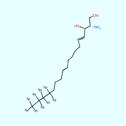 [2H]C([2H])([2H])C([2H])([2H])C([2H])([2H])C([2H])([2H])CCCCCCCCC/C=C/[C@@H](O)[C@@H](N)CO